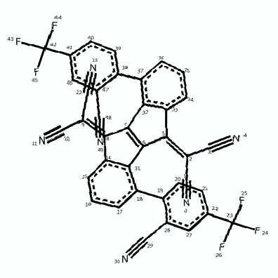 N#CC(C#N)=C1C2=C(C(=C(C#N)C#N)c3cccc(-c4ccc(C(F)(F)F)cc4C#N)c32)c2c1cccc2-c1ccc(C(F)(F)F)cc1C#N